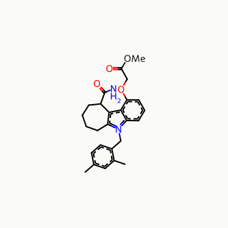 COC(=O)COc1cccc2c1c1c(n2Cc2ccc(C)cc2C)CCCCC1C(N)=O